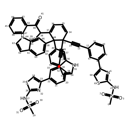 CS(=O)(=O)Nc1nc(-c2cccc(C#CC3(C#Cc4cccc(-c5csc(NS(C)(=O)=O)n5)c4)C=CC=C(C(O)C(=O)c4ccccc4)C3(c3ccc4cc[nH]c4c3)c3ccc4cc[nH]c4c3)c2)cs1